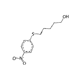 O=[N+]([O-])c1ccc(SCCCCCO)cc1